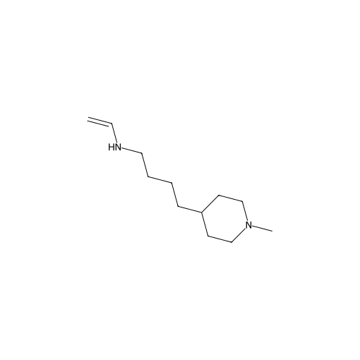 C=CNCCCCC1CCN(C)CC1